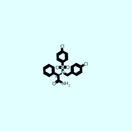 NC(=O)[C@@H](c1ccccc1)N(Cc1ccc(Cl)cc1)S(=O)(=O)c1ccc(Cl)cc1